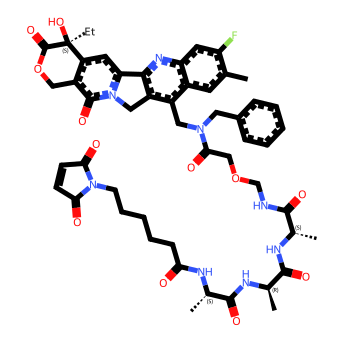 CC[C@@]1(O)C(=O)OCc2c1cc1n(c2=O)Cc2c-1nc1cc(F)c(C)cc1c2CN(Cc1ccccc1)C(=O)COCNC(=O)[C@H](C)NC(=O)[C@@H](C)NC(=O)[C@H](C)NC(=O)CCCCCN1C(=O)C=CC1=O